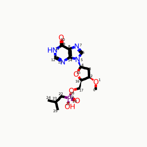 CO[C@@H]1C[C@H](n2cnc3c(=O)[nH]cnc32)O[C@@H]1COP(=O)(O)CC(C)C